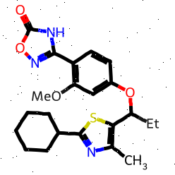 CCC(Oc1ccc(-c2noc(=O)[nH]2)c(OC)c1)c1sc(C2CCCCC2)nc1C